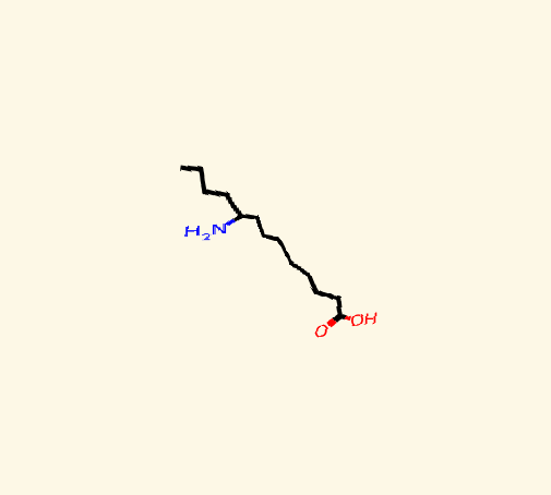 CCCCC(N)CCCCCCCC(=O)O